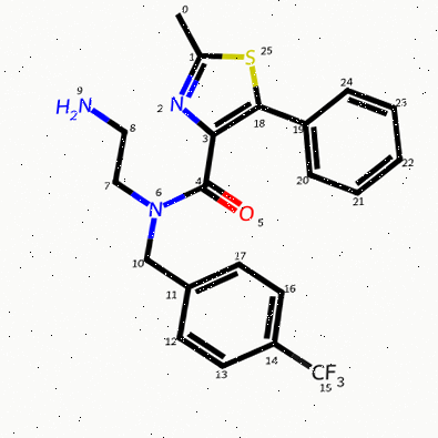 Cc1nc(C(=O)N(CCN)Cc2ccc(C(F)(F)F)cc2)c(-c2ccccc2)s1